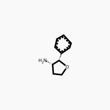 N[C@H]1CCO[C@H]1c1ccccc1